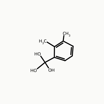 Cc1cccc(C(O)(O)O)c1C